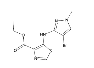 CCOC(=O)c1ncsc1Nc1nn(C)cc1Br